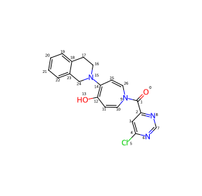 O=C(c1cc(Cl)ncn1)N1C=CC(O)=C(N2CCc3ccccc3C2)C=C1